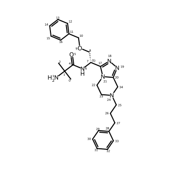 CC(C)(N)C(=O)N[C@H](COCc1ccccc1)c1nnc2n1CCN(CCCc1ccccc1)C2